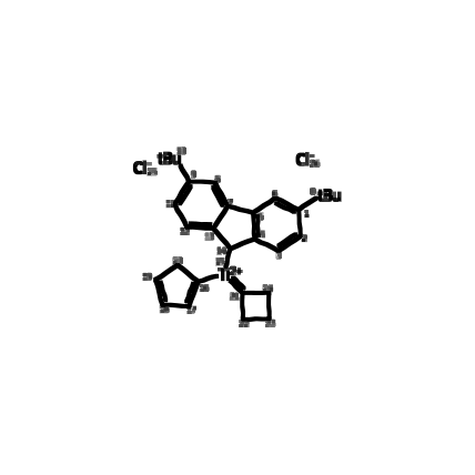 CC(C)(C)c1ccc2c(c1)-c1cc(C(C)(C)C)ccc1[CH]2[Ti+2]([C]1=CC=CC1)=[C]1CCC1.[Cl-].[Cl-]